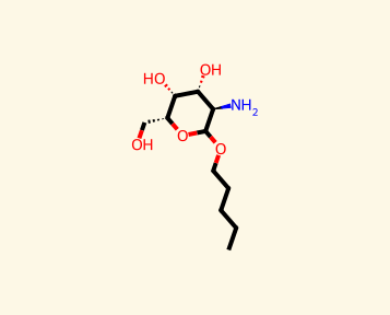 CCCCCOC1O[C@H](CO)[C@H](O)[C@H](O)[C@H]1N